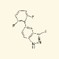 Fc1cccc(F)c1-c1ccc2[nH]nc(I)c2c1